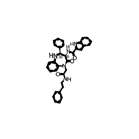 O=C(CN1C(=O)[C@@H](NC(=O)c2cc3ccccc3[nH]2)[C@H](c2ccccc2)Nc2ccccc21)NCCc1ccccc1